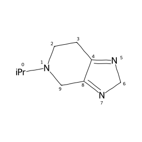 CC(C)N1CCC2=NCN=C2C1